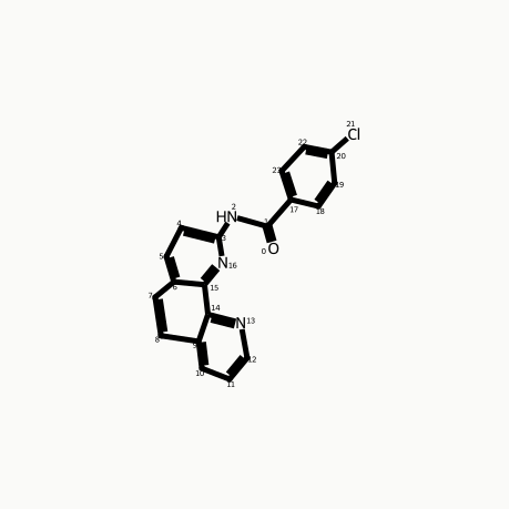 O=C(Nc1ccc2ccc3cccnc3c2n1)c1ccc(Cl)cc1